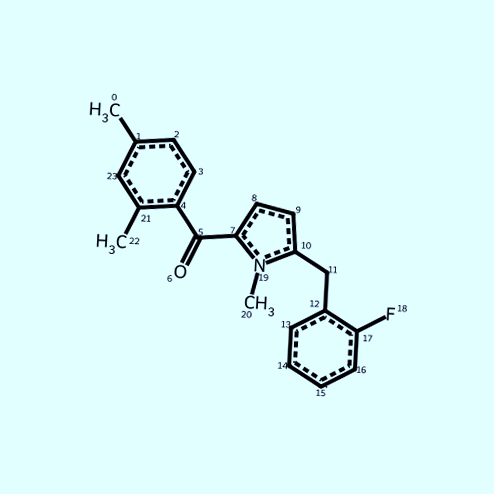 Cc1ccc(C(=O)c2ccc(Cc3cc[c]cc3F)n2C)c(C)c1